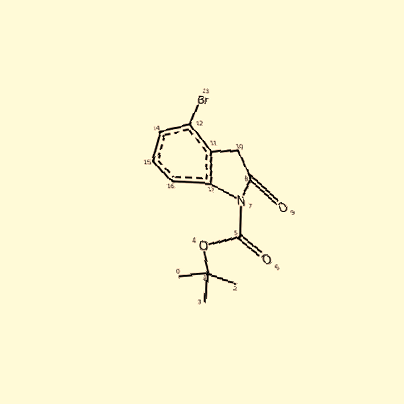 CC(C)(C)OC(=O)N1C(=O)Cc2c(Br)cccc21